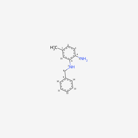 Cc1ccc(N)c(NCc2ccccc2)c1